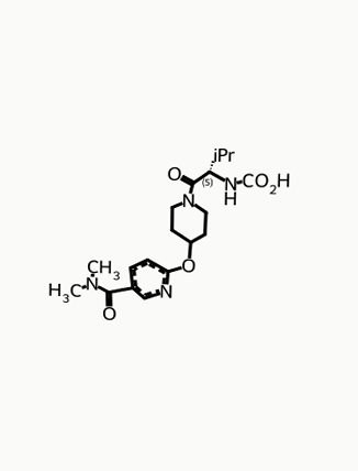 CC(C)[C@H](NC(=O)O)C(=O)N1CCC(Oc2ccc(C(=O)N(C)C)cn2)CC1